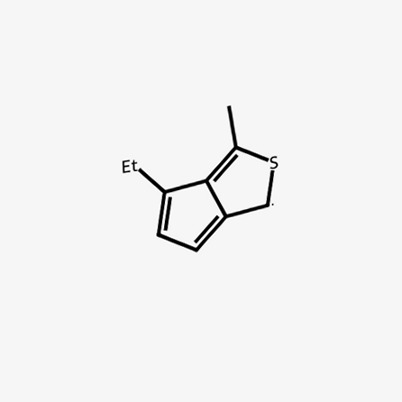 CCC1=CC=C2[CH]SC(C)=C21